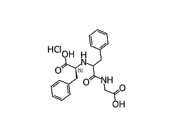 Cl.O=C(O)CNC(=O)C(Cc1ccccc1)N[C@@H](Cc1ccccc1)C(=O)O